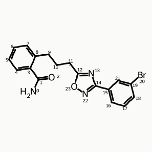 NC(=O)c1ccccc1CC[CH]c1nc(-c2cccc(Br)c2)no1